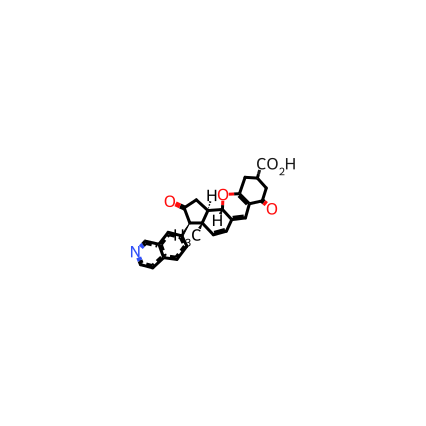 C[C@]12C=CC3=CC4=C(CC(C(=O)O)CC4=O)O[C@H]3[C@@H]1CC(=O)[C@@H]2c1ccc2ccncc2c1